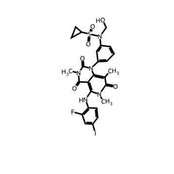 Cc1c(=O)n(C)c(Nc2ccc(I)cc2F)c2c(=O)n(C)c(=O)n(-c3cccc(N(CO)S(=O)(=O)C4CC4)c3)c12